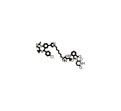 Cc1nnc2n1-c1ccc(-c3cnn(CCCCCCn4cc(C5(Nc6cccc7c6C(=O)N(C6CCC(=O)NC6=O)C7=O)CC5)nn4)c3)cc1C(c1ccc(Cl)cc1)=NC21CC1